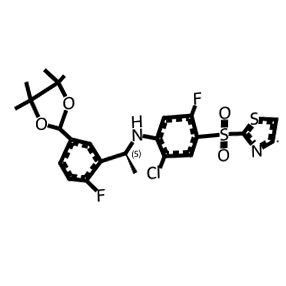 C[C@H](Nc1cc(F)c(S(=O)(=O)c2n[c]cs2)cc1Cl)c1cc(C2OC(C)(C)C(C)(C)O2)ccc1F